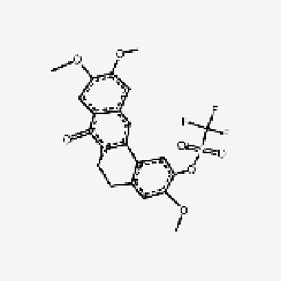 COc1cc2cc3n(c(=O)c2cc1OC)CCc1cc(OC)c(OS(=O)(=O)C(F)(F)F)cc1-3